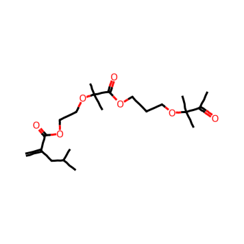 C=C(CC(C)C)C(=O)OCCOC(C)(C)C(=O)OCCCOC(C)(C)C(C)=O